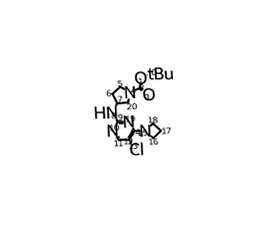 CC(C)(C)OC(=O)N1CCC(Nc2ncc(Cl)c(N3CCC3)n2)C1